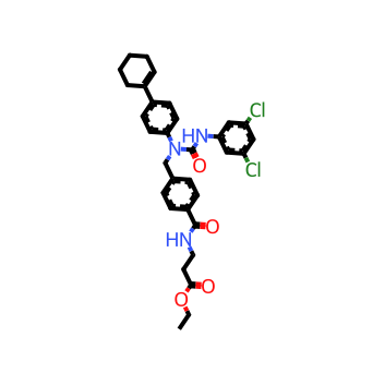 CCOC(=O)CCNC(=O)c1ccc(CN(C(=O)Nc2cc(Cl)cc(Cl)c2)c2ccc(C3=CCCCC3)cc2)cc1